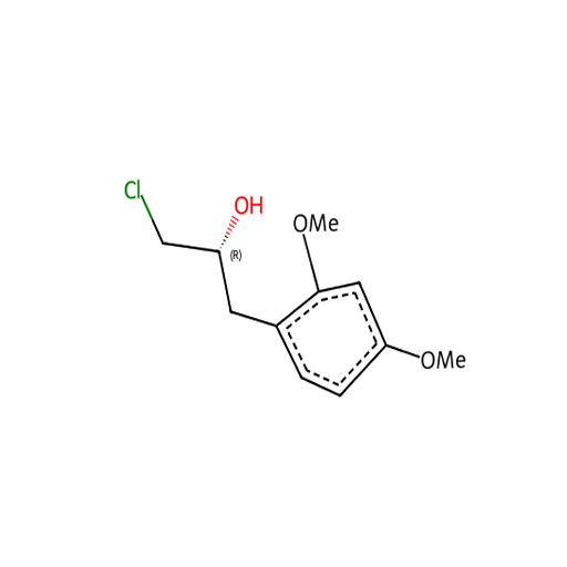 COc1ccc(C[C@@H](O)CCl)c(OC)c1